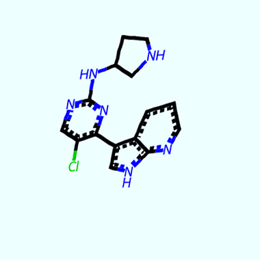 Clc1cnc(NC2CCNC2)nc1-c1c[nH]c2ncccc12